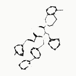 O=C(C(Cc1ccccc1)N(Cc1ccc(-c2ccccn2)cc1)C(=O)C=Cc1ccc(C(F)(F)F)cc1)N1CCc2c(Cl)cccc2C1